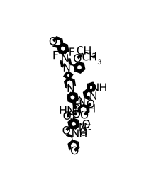 CC(C)Oc1ccccc1[C@@H]1CN(c2c(F)cc3c(c2F)COCC3)CCN1C1CC2(CCN(c3ccc(C(=O)NS(=O)(=O)c4cc5c(c([N+](=O)[O-])c4)N[C@H](C4CCOCC4)CO5)c(N4c5cc6cc[nH]c6nc5O[C@H]5COCC[C@@H]54)c3)CC2)C1